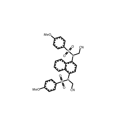 COc1ccc(S(=O)(=O)N(CC#N)c2ccc(N(CC#N)S(=O)(=O)c3ccc(OC)cc3)c3ccccc23)cc1